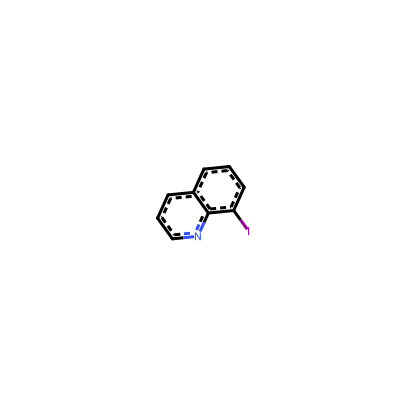 Ic1cccc2cccnc12